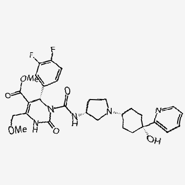 COCC1=C(C(=O)OC)[C@H](c2ccc(F)c(F)c2)N(C(=O)N[C@@H]2CCN([C@H]3CC[C@](O)(c4ccccn4)CC3)C2)C(=O)N1